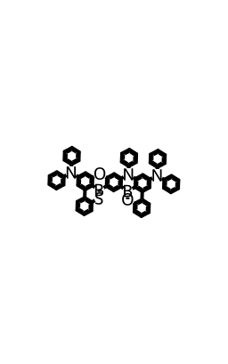 c1ccc(N(c2ccccc2)c2cc3c4c(c2)-c2ccccc2SB4c2cc4c(cc2O3)N(c2ccccc2)c2cc(N(c3ccccc3)c3ccccc3)cc3c2B4Oc2ccccc2-3)cc1